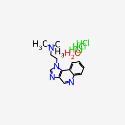 CN(C)CCn1cnc2cnc3ccccc3c21.Cl.Cl.Cl.O